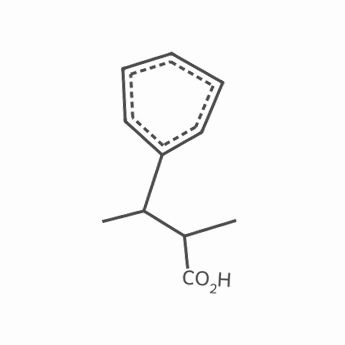 CC(C(=O)O)C(C)c1ccccc1